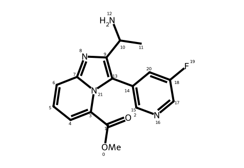 COC(=O)c1cccc2nc(C(C)N)c(-c3cncc(F)c3)n12